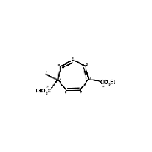 CCOC(=O)C1=CC=CC(C)(C(=O)OCC)C=C1